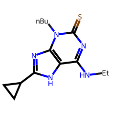 CCCCn1c(=S)nc(NCC)c2[nH]c(C3CC3)nc21